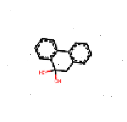 OC1(O)Cc2ccccc2-c2ccccc21